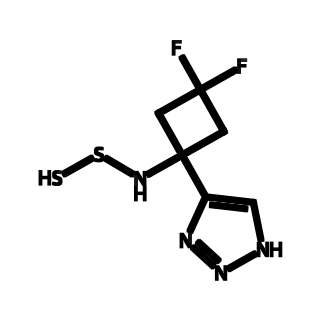 FC1(F)CC(NSS)(c2c[nH]nn2)C1